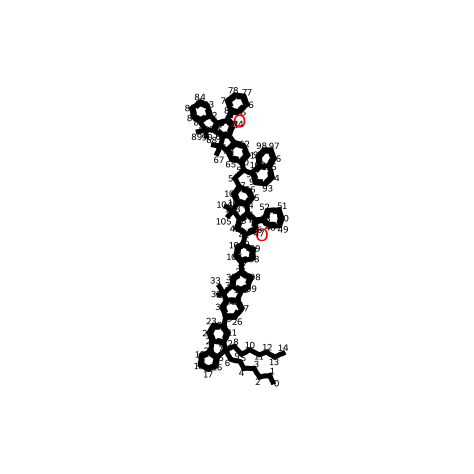 CCCCCCCC1(CCCCCCC)c2ccccc2-c2ccc(-c3ccc4c(c3)C(C)(C)c3cc(-c5ccc(-c6cc7c(c8c6oc6ccccc68)-c6ccc(CC(c8ccc9c(c8)C(C)(C)c8c%10c(c%11c(oc%12ccccc%12%11)c8-9)-c8ccccc8C%10(C)C)c8cccc9ccccc89)cc6C7(C)C)cc5)ccc3-4)cc21